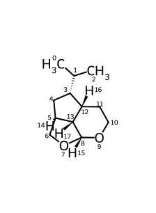 CC(C)[C@H]1C[C@H]2CO[C@H]3OCC[C@@H]1[C@@H]23